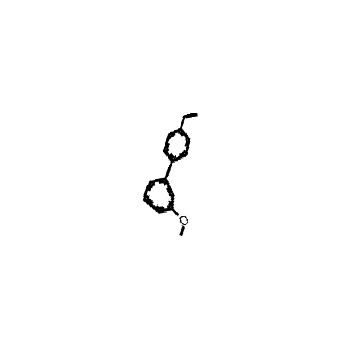 C=Cc1ccc(-c2cccc(OC)c2)cc1